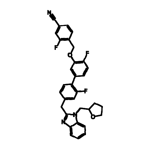 N#Cc1ccc(COc2cc(-c3ccc(Cc4nc5ccccc5n4CC4CCCO4)cc3F)ccc2F)c(F)c1